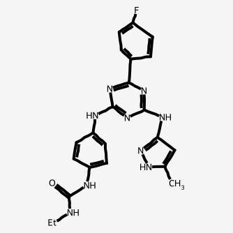 CCNC(=O)Nc1ccc(Nc2nc(Nc3cc(C)[nH]n3)nc(-c3ccc(F)cc3)n2)cc1